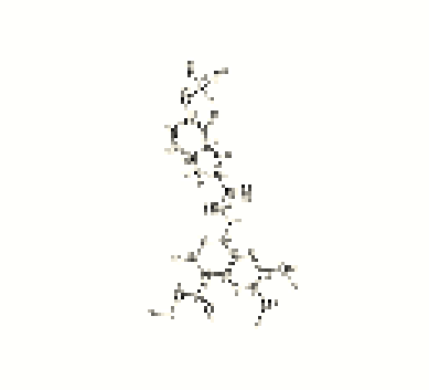 CCOC(=O)N1c2cc(OC)c(OC)cc2C(CNC(=O)c2cc3cc(OC(F)(F)F)ccc3[nH]2)CC1C